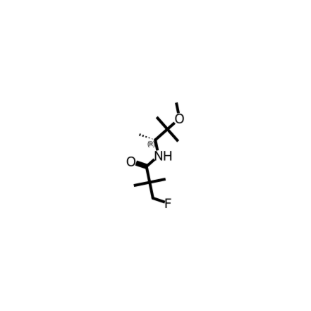 COC(C)(C)[C@@H](C)NC(=O)C(C)(C)CF